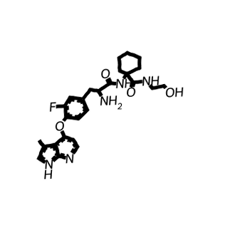 Cc1c[nH]c2nccc(Oc3ccc(CC(N)C(=O)NC4(C(=O)NCCO)CCCCC4)cc3F)c12